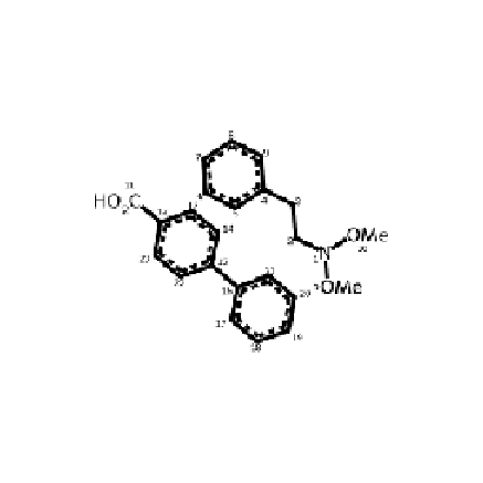 CON(CCc1ccccc1)OC.O=C(O)c1ccc(-c2ccccc2)cc1